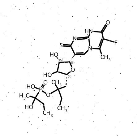 CCC(C)(C[C@H]1O[C@@H](c2cn3c(C)c(F)c(=O)[nH]c3nc2=S)[C@@H](O)C1O)OP(=O)(O)C(C)(O)CC